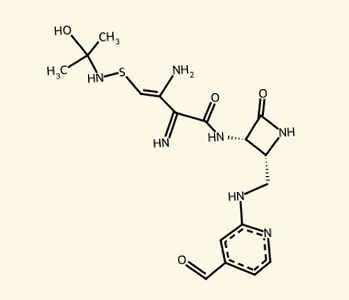 CC(C)(O)NS/C=C(\N)C(=N)C(=O)N[C@@H]1C(=O)N[C@@H]1CNc1cc(C=O)ccn1